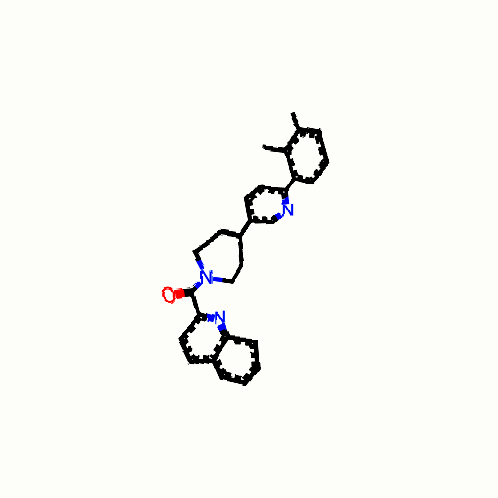 Cc1cccc(-c2ccc(C3CCN(C(=O)c4ccc5ccccc5n4)CC3)cn2)c1C